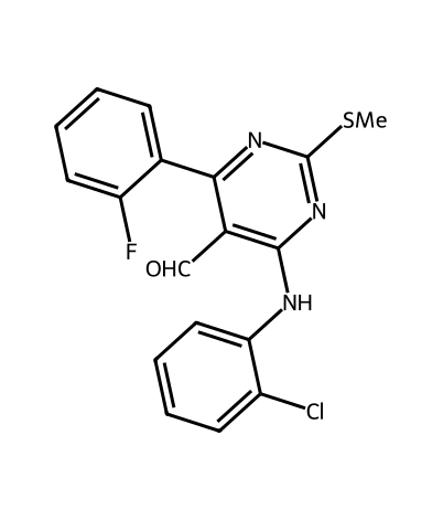 CSc1nc(Nc2ccccc2Cl)c(C=O)c(-c2ccccc2F)n1